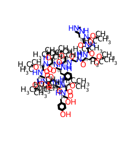 CC(C)[C@H](NC(=O)[C@H](CC(=O)OC(C)(C)C)NC(=O)[C@H](COC(C)(C)C)NC(=O)[C@@H](NC(=O)[C@H](Cc1ccccc1)NC(=O)[C@@H](NC(=O)CNC(=O)[C@H](CCC(=O)OC(C)(C)C)NC(=O)C(C)(C)NC(=O)[C@H](Cc1c[nH]cn1)NC(=O)OC(C)(C)C)[C@@H](C)OC(C)(C)C)[C@@H](C)OC(C)(C)C)C(=O)N[C@@H](COC(C)(C)C)C(=O)N[C@@H](COC(C)(C)C)C(=O)N[C@@H](Cc1ccc(O)cc1)C(=O)O